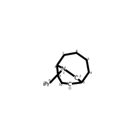 CC(C)N1CC2CCCCC1CCC2